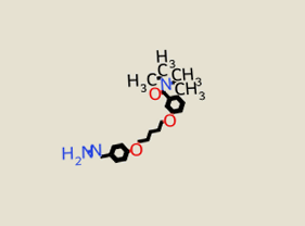 CC(C)N(C(=O)c1cccc(OCCCCCOc2ccc(C=NN)cc2)c1)C(C)C